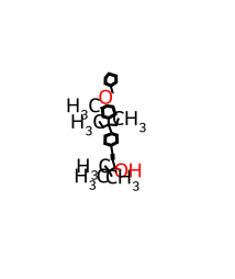 CCC(CC)(c1ccc(C#CC(O)C(C)(C)C)cc1)c1ccc(OCc2ccccc2)c(C)c1